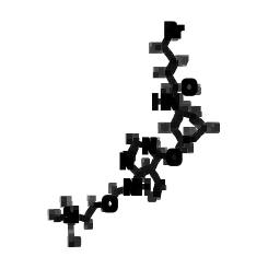 C=Cc1c(NCOCC[Si](C)(C)C)ncnc1Oc1cccc(NC(=O)/C=C/CBr)c1